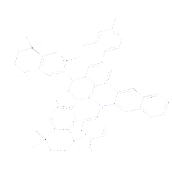 Cc1cc(C)c(-c2cc3c4c(c2)N(c2cc5c(cc2C)C(C)(C)CCC5(C)C)c2sc5cc6c(cc5c2B4N(c2ccc(C(C)(C)C)cc2)c2cc4ccccc4cc2-3)C(C)(C)CCC6(C)C)c(C)c1